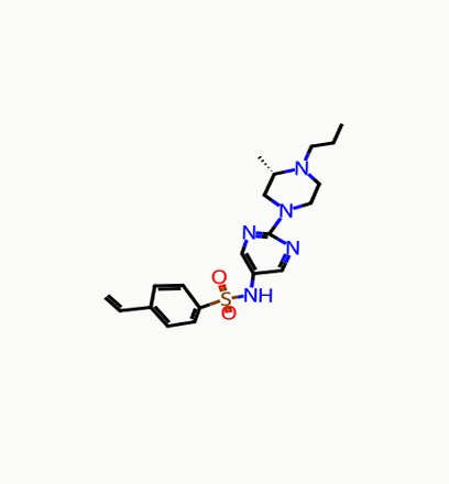 C=Cc1ccc(S(=O)(=O)Nc2cnc(N3CCN(CCC)[C@@H](C)C3)nc2)cc1